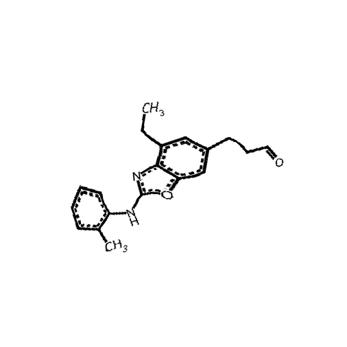 CCc1cc(CCC=O)cc2oc(Nc3ccccc3C)nc12